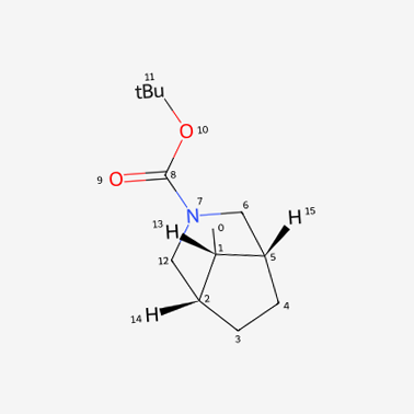 C[C@H]1[C@@H]2CC[C@H]1CN(C(=O)OC(C)(C)C)C2